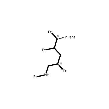 CCCCC[C@@H](CC)C(CC)C[C@@H](CC)CNCC